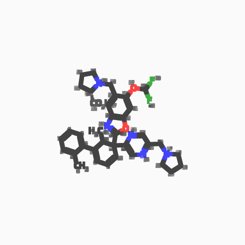 Cc1ccccc1C1=CC=CC(c2cnc(CN3CCCC3)cn2)(c2nc3cc(CN4CCC[C@H]4C(=O)O)c(OC(F)F)cc3o2)C1C